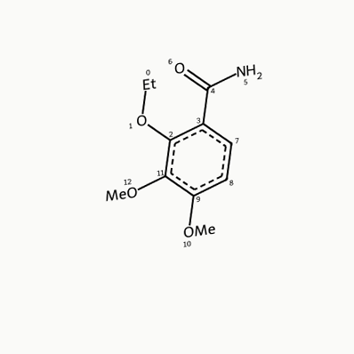 CCOc1c(C(N)=O)ccc(OC)c1OC